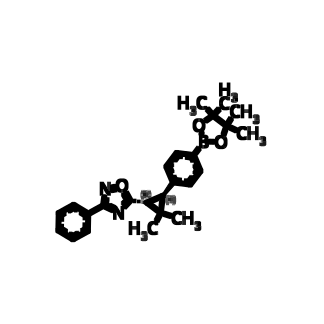 CC1(C)[C@H](c2ccc(B3OC(C)(C)C(C)(C)O3)cc2)[C@H]1c1nc(-c2ccccc2)no1